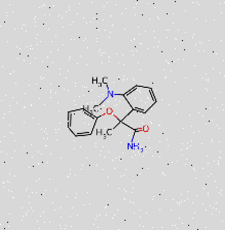 CN(C)c1ccccc1C(C)(Oc1ccccc1)C(N)=O